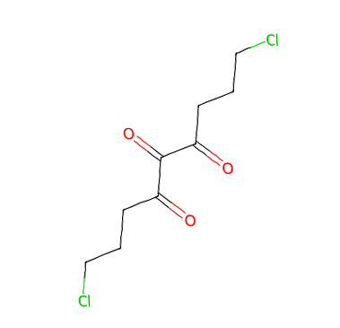 O=C(CCCCl)C(=O)C(=O)CCCCl